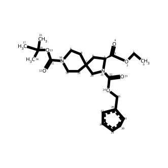 CCOC(=O)[C@@H]1CC2(CCN(C(=O)OC(C)(C)C)CC2)CN1C(=O)OCc1ccccc1